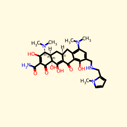 CN(C)c1cc(CNCc2cccn2C)c(O)c2c1C[C@@H]1C[C@@H]3[C@@H](N(C)C)C(O)=C(C(N)=O)C(=O)[C@]3(O)C(O)=C1C2=O